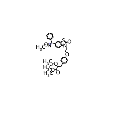 CO/N=C(\c1ccccc1)c1ccc2c(c1)sc(=O)n2CCOc1ccc(CC(OC(C)C)C(=O)OC)cc1